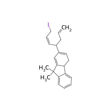 C=CCC(/C=C\CI)C1=CCC2C(=C1)C(C)(C)c1ccccc12